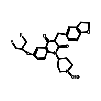 O=CN1CCC(n2c(=O)n(Cc3ccc4c(c3)CCO4)c(=O)c3cc(OC(CF)CF)ccc32)CC1